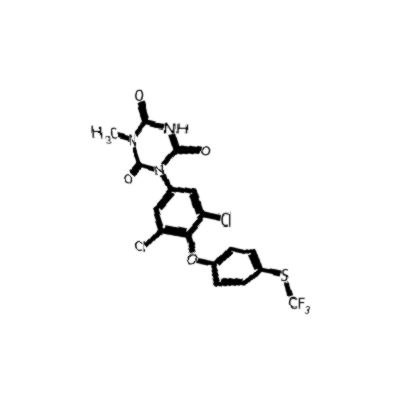 Cn1c(=O)[nH]c(=O)n(-c2cc(Cl)c(Oc3ccc(SC(F)(F)F)cc3)c(Cl)c2)c1=O